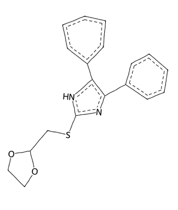 c1ccc(-c2nc(SCC3OCCO3)[nH]c2-c2ccccc2)cc1